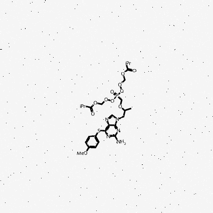 COc1ccc(Sc2nc(N)nc3c2ncn3CC(C)OCP(=O)(OOCOC(=O)C(C)C)OOCOC(=O)C(C)C)cc1